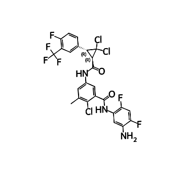 Cc1cc(NC(=O)[C@H]2[C@H](c3ccc(F)c(C(F)(F)F)c3)C2(Cl)Cl)cc(C(=O)Nc2cc(N)c(F)cc2F)c1Cl